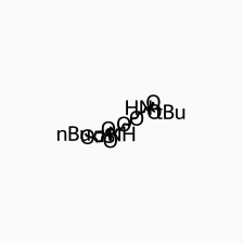 CCCCOc1ccc(S(=O)(=O)NCCOCCOCCNC(=O)OC(C)(C)C)cc1